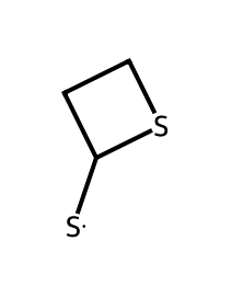 [S]C1CCS1